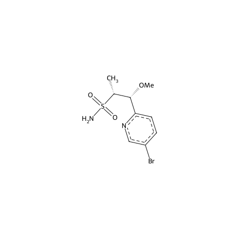 CO[C@H](c1ccc(Br)cn1)[C@@H](C)S(N)(=O)=O